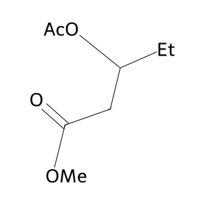 CCC(CC(=O)OC)OC(C)=O